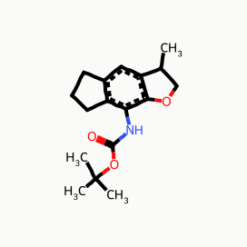 CC1COc2c1cc1c(c2NC(=O)OC(C)(C)C)CCC1